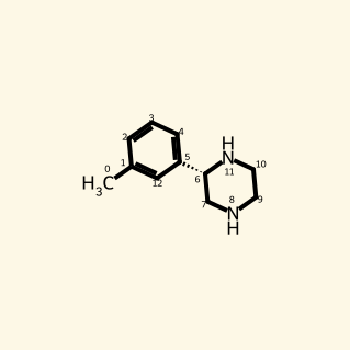 Cc1cccc([C@H]2CNCCN2)c1